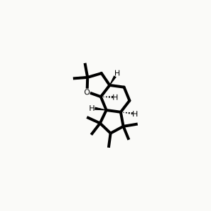 CC1C(C)(C)[C@@H]2[C@H]3OC(C)(C)C[C@@H]3CC[C@H]2C1(C)C